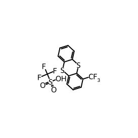 FC(F)(F)c1cccc2c1Sc1ccccc1S2.O=S(=O)(O)C(F)(F)F